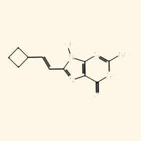 Cn1c(C=CC2CCC2)nc2c(=O)[nH]c(N)nc21